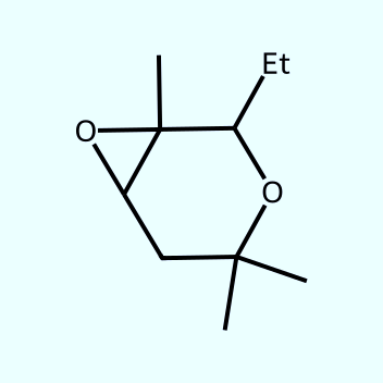 CCC1OC(C)(C)CC2OC12C